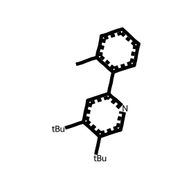 Cc1ccccc1-c1cc(C(C)(C)C)c(C(C)(C)C)cn1